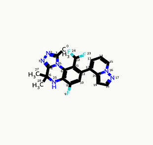 Cc1nnc2n1-c1c(c(F)cc(-c3cccn4nccc34)c1C(F)F)NC2(C)C